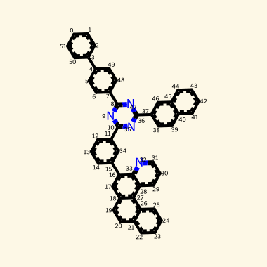 c1ccc(-c2ccc(-c3nc(-c4cccc(-c5cc6ccc7ccccc7c6c6cccnc56)c4)nc(-c4ccc5ccccc5c4)n3)cc2)cc1